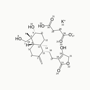 C=C1CC[C@@H]2[C@](C)(CO)[C@H](O)CC[C@@]2(C)[C@@H]1CCC1=C(O)COC1=O.O=C([O-])CCC(=O)O.[K+]